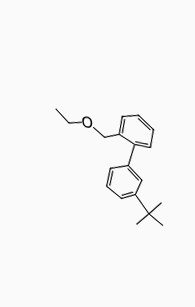 CCOCc1ccccc1-c1cccc(C(C)(C)C)c1